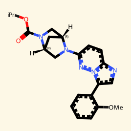 COc1ccccc1-c1cnc2ccc(N3C[C@H]4C[C@@H]3CN4C(=O)OC(C)C)nn12